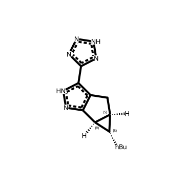 CCCC[C@H]1[C@@H]2Cc3c(n[nH]c3-c3nn[nH]n3)[C@H]12